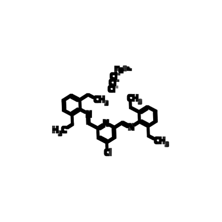 CCc1cccc(CC)c1N=Cc1cc(Cl)cc(C=Nc2c(CC)cccc2CC)n1.[Cl-].[Cl-].[Cl-].[Fe+3]